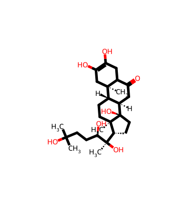 CC(C)(O)CC[C@@H](O)[C@](C)(O)[C@H]1CC[C@@]2(O)[C@@H]3CC(=O)C4CC(O)=C(O)C[C@]4(C)[C@H]3CC[C@]12C